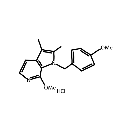 COc1ccc(Cn2c(C)c(C)c3ccnc(OC)c32)cc1.Cl